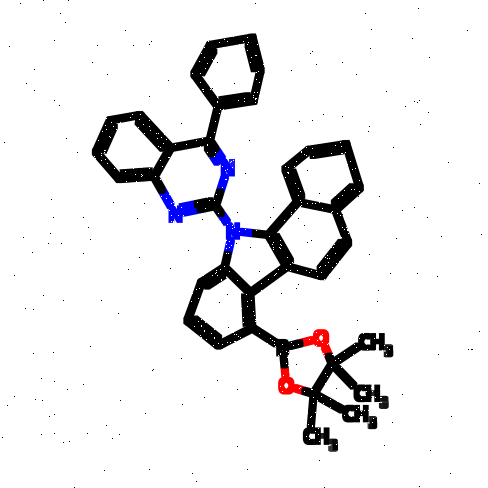 CC1(C)OB(c2cccc3c2c2ccc4ccccc4c2n3-c2nc(-c3ccccc3)c3ccccc3n2)OC1(C)C